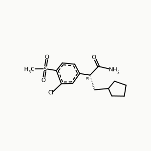 CS(=O)(=O)c1ccc([C@@H](CC2CCCC2)C(N)=O)cc1Cl